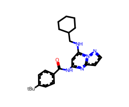 CC(C)(C)c1ccc(C(=O)Nc2cc(NCC3CCCCC3)n3nccc3n2)cc1